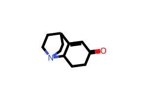 O=C1C=C2C3CCN(CC3)C2CC1